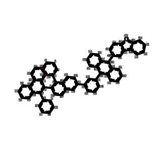 c1ccc(-c2c(-c3c(-c4ccccc4)c4ccccc4c4ccccc34)ccc3cc(-c4cccc(-c5c6ccccc6c(-c6ccc7oc8ccccc8c7c6)c6ccccc56)c4)ccc23)cc1